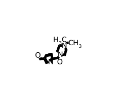 CC(C)N1CCN(C(=O)c2ccc(C=O)cn2)CC1